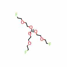 FCCOCC[O][Al]([O]CCOCCF)[O]CCOCCF